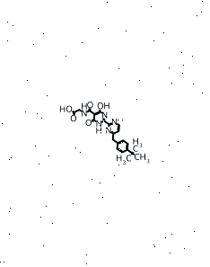 CC(C)(C)c1ccc(Cc2ccnc(-c3nc(O)c(C(=O)NCC(=O)O)c(=O)[nH]3)n2)cc1